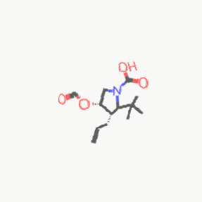 C=CC[C@H]1C(C(C)(C)C)N(C(=O)O)C[C@H]1OC=O